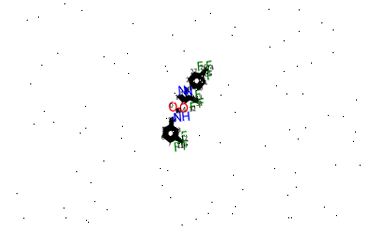 O=C(NCc1cccc(C(F)(F)F)c1)Oc1cnn(-c2ccc(C(F)(F)F)cc2)c1C(F)(F)F